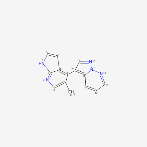 Cc1cnc2[nH]ccc2c1-c1cnn2ncccc12